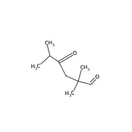 CC(C)C(=O)CC(C)(C)[C]=O